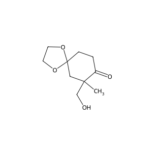 CC1(CO)CC2(CCC1=O)OCCO2